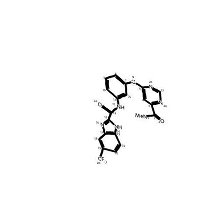 CNC(=O)c1cc(Oc2cccc(NC(=O)c3nc4cc(C(F)(F)F)ccc4[nH]3)c2)ncn1